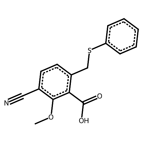 COc1c(C#N)ccc(CSc2ccccc2)c1C(=O)O